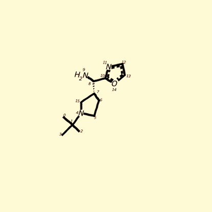 CC(C)(C)N1CC[C@@H](C(N)c2ncco2)C1